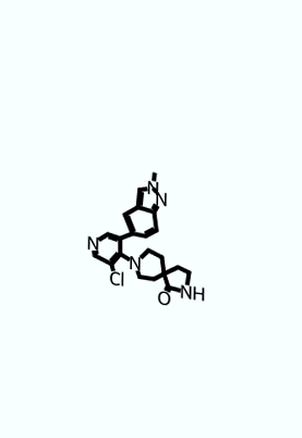 Cn1cc2cc(-c3cncc(Cl)c3N3CCC4(CCNC4=O)CC3)ccc2n1